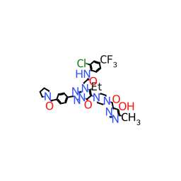 CCc1c(N2CCN(C(=O)c3ncnc(C)c3O)CC2)c(=O)n2nc(-c3ccc(C(=O)N4CCCC4)cc3)nc2n1CC(=O)Nc1ccc(C(F)(F)F)cc1Cl